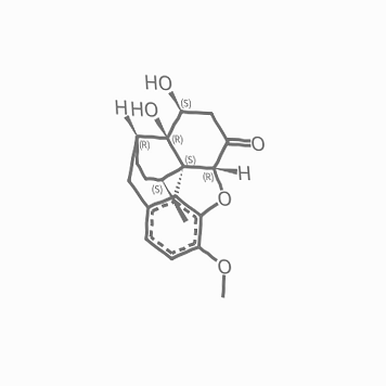 COc1ccc2c3c1O[C@H]1C(=O)C[C@H](O)[C@@]4(O)[C@H](CC[C@H](C)[C@]314)C2